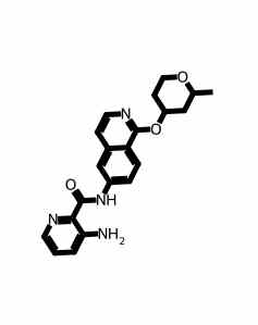 CC1CC(Oc2nccc3cc(NC(=O)c4ncccc4N)ccc23)CCO1